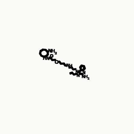 CCCc1nc2c(N)nc3ccccc3c2n1CCCCNCCCCOCCC(=O)NC1CCCCCCC(N)C1